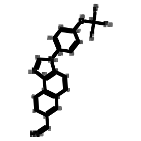 N=Cc1ccc2c(ccc3c2ncn3-c2ccc(OC(F)(F)F)cc2)c1